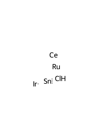 Cl.[Ce].[Ir].[Ru].[Sn]